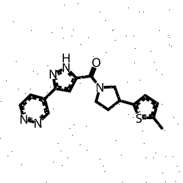 Cc1ccc(C2CCN(C(=O)c3cc(-c4ccnnc4)n[nH]3)C2)s1